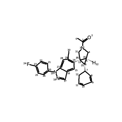 CC(=O)N1C[C@H]2[C@H](C3C=CC=CC3)[C@@]2(c2cc3cnn(-c4ccc(F)cc4)c3cc2C)C1